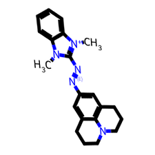 Cn1c(/N=N/c2cc3c4c(c2)CCCN4CCC3)[n+](C)c2ccccc21